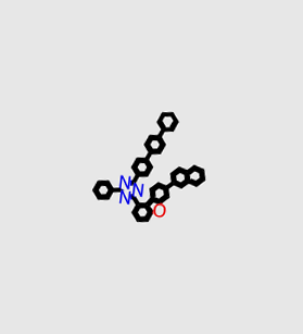 C1=CC(c2ccc(-c3ccc(-c4nc(-c5ccccc5)nc(-c5cccc6oc7cc(-c8ccc9ccccc9c8)ccc7c56)n4)cc3)cc2)=CCC1